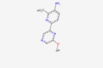 CCCOc1cncc(-c2ccc(N)c(C(=O)O)n2)n1